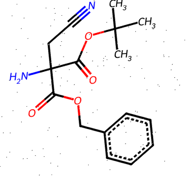 CC(C)(C)OC(=O)C(N)(CC#N)C(=O)OCc1ccccc1